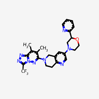 Cc1c(N2CCc3ncc(N4CCOC(c5ccccn5)C4)cc3C2)nn2c(C(F)(F)F)nnc2c1C